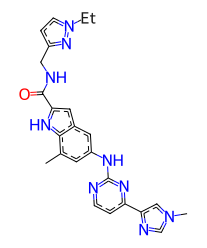 CCn1ccc(CNC(=O)c2cc3cc(Nc4nccc(-c5cn(C)cn5)n4)cc(C)c3[nH]2)n1